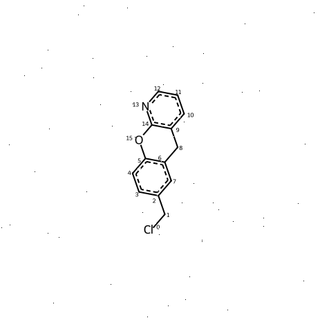 ClCc1ccc2c(c1)Cc1cccnc1O2